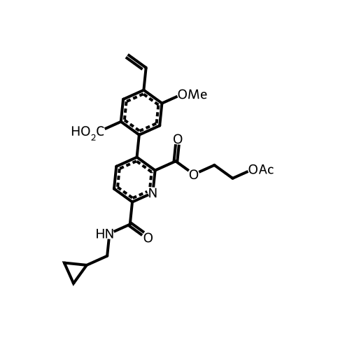 C=Cc1cc(C(=O)O)c(-c2ccc(C(=O)NCC3CC3)nc2C(=O)OCCOC(C)=O)cc1OC